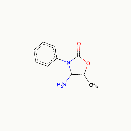 CC1OC(=O)N(c2ccccc2)C1N